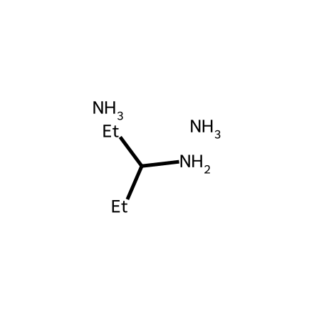 CCC(N)CC.N.N